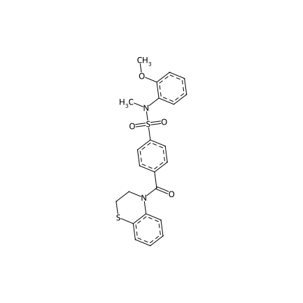 COc1ccccc1N(C)S(=O)(=O)c1ccc(C(=O)N2CCSc3ccccc32)cc1